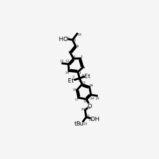 CCC(CC)(c1ccc(C=CC(C)O)c(C)c1)c1ccc(OCC(O)C(C)(C)C)c(C)c1